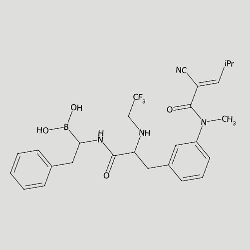 CC(C)C=C(C#N)C(=O)N(C)c1cccc(CC(NCC(F)(F)F)C(=O)NC(Cc2ccccc2)B(O)O)c1